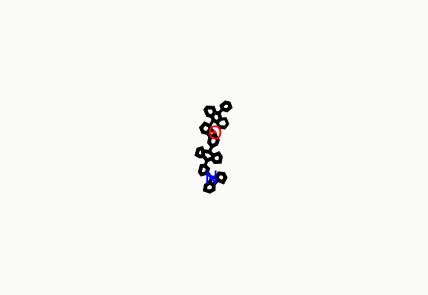 C1=Cc2c(c(-c3ccccc3)c3ccccc3c2-c2cccc3c2oc2ccc(-c4c5ccccc5c(-c5cccc(-n6c7ccccc7c7ccccc76)c5)c5ccccc45)cc23)CC1